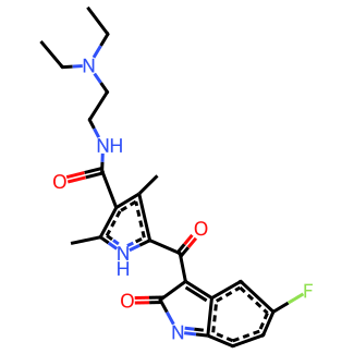 CCN(CC)CCNC(=O)c1c(C)[nH]c(C(=O)C2=c3cc(F)ccc3=NC2=O)c1C